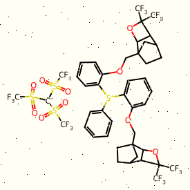 FC(F)(F)C1(C(F)(F)F)OC2C1C1CCC2(COc2ccccc2[S+](c2ccccc2)c2ccccc2OCC23CCC(C2)C2C3OC2(C(F)(F)F)C(F)(F)F)C1.O=S(=O)([C-](S(=O)(=O)C(F)(F)F)S(=O)(=O)C(F)(F)F)C(F)(F)F